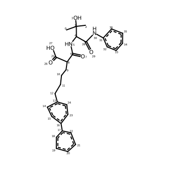 CC(C)(O)C(NC(=O)C(CCCCc1ccc(-c2ccccc2)cc1)C(=O)O)C(=O)Nc1ccccc1